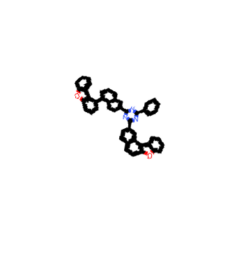 c1ccc(-c2nc(-c3ccc4c(-c5cccc6oc7ccccc7c56)cccc4c3)nc(-c3ccc4ccc5oc6ccccc6c5c4c3)n2)cc1